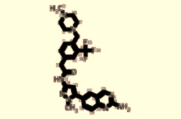 CN1CCN(Cc2ccc(CC(=O)Nc3cc(-c4ccc5nc(N)ncc5c4)n(C)n3)cc2C(F)(F)F)CC1